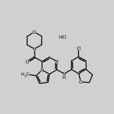 Cc1ccc2c(Nc3cc(Cl)cc4c3OCC4)ncc(C(=O)N3CCOCC3)n12.Cl